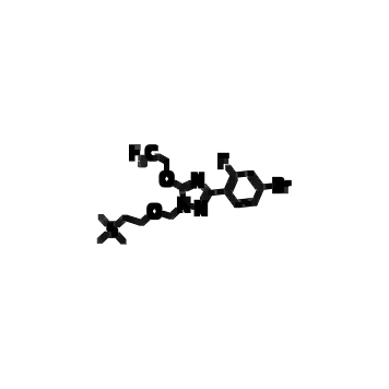 CS(C)(C)CCOCn1nc(-c2ccc(Br)cc2F)nc1OCC(F)(F)F